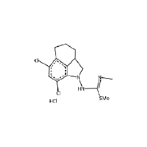 CN=C(NN1CC2CCCc3c(Cl)cc(Cl)c1c32)SC.Cl